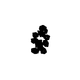 c1ccc(-c2nc(-c3cccc(-c4cccc(-c5nc(-c6ccccc6)c6c7ccccc7n(-c7ccccc7)c6n5)c4)c3)nc3c2ccc2ccccc23)cc1